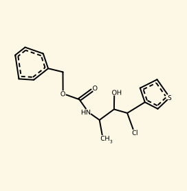 CC(NC(=O)OCc1ccccc1)C(O)C(Cl)c1ccsc1